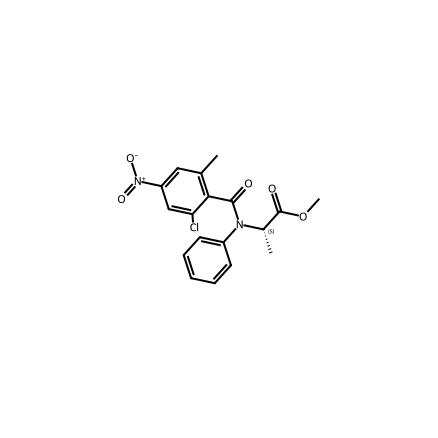 COC(=O)[C@H](C)N(C(=O)c1c(C)cc([N+](=O)[O-])cc1Cl)c1ccccc1